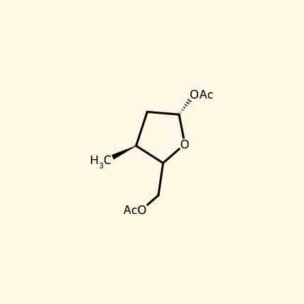 CC(=O)OCC1O[C@@H](OC(C)=O)C[C@@H]1C